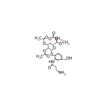 COC(=O)C1O[C@@H](Oc2ccc(CO)cc2NC(=O)CCN)C(OC(C)=O)C(OC(C)=O)[C@@H]1OC(C)=O